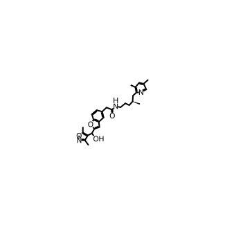 Cc1cnc(C[C@@H](C)CCCNC(=O)Cc2ccc3oc(C(O)c4c(C)noc4C)cc3c2)c(C)c1